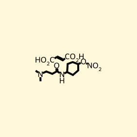 CN(C)CCC(=O)NC1CCC(O[N+](=O)[O-])CC1.O=C(O)C=CC(=O)O